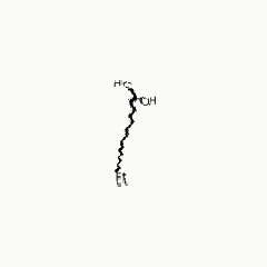 C#C[C@H](O)CCCCCCC/C=C/C/C=C/C/C=C/CC